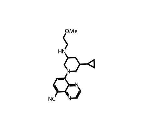 COCCNC1CC(C2CC2)CN(c2ccc(C#N)c3nccnc23)C1